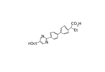 CCCCCCCCc1cnc(-c2ccc(-c3ccc(C(CC)C(=O)O)cc3)cc2)nc1